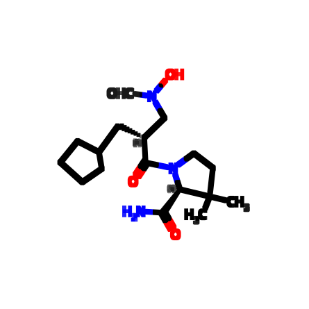 CC1(C)CCN(C(=O)[C@H](CC2CCCC2)CN(O)C=O)[C@@H]1C(N)=O